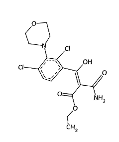 CCOC(=O)C(C(N)=O)=C(O)c1ccc(Cl)c(N2CCOCC2)c1Cl